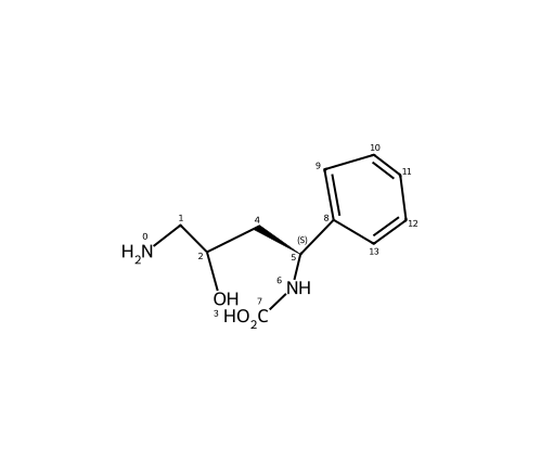 NCC(O)C[C@H](NC(=O)O)c1ccccc1